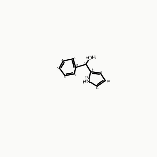 OC(c1ccccc1)c1ccc[nH]1